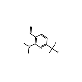 C=Cc1ccc(C(F)(F)F)nc1N(C)C